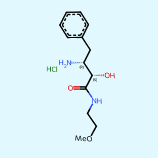 COCCNC(=O)[C@@H](O)[C@H](N)Cc1ccccc1.Cl